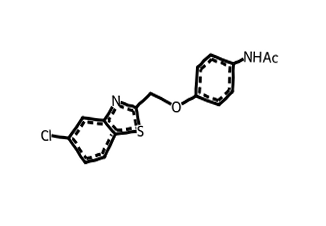 CC(=O)Nc1ccc(OCc2nc3cc(Cl)ccc3s2)cc1